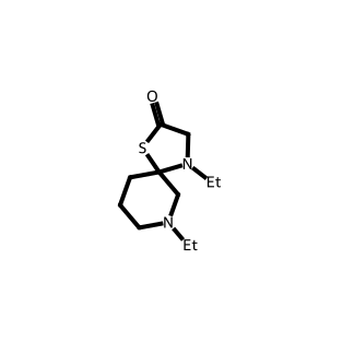 CCN1CCCC2(C1)SC(=O)CN2CC